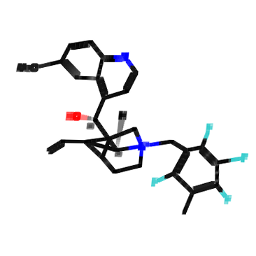 C=CC12C3CC[N+](Cc4c(F)c(C)c(F)c(F)c4F)(CC31)[C@@H]2[C@H](O)c1ccnc2ccc(OC)cc12